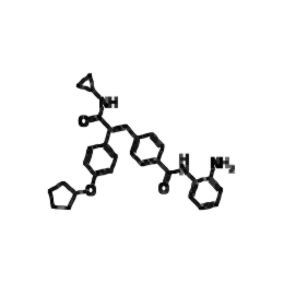 Nc1ccccc1NC(=O)c1ccc(/C=C(/C(=O)NC2CC2)c2ccc(OC3CCCC3)cc2)cc1